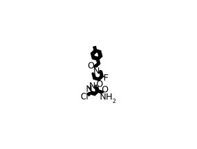 Cc1ccc(CC(=O)N2CC[C@@H](Oc3nnc(Cl)cc3C(N)=O)[C@@H](F)C2)cc1